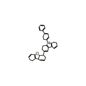 C1=CC2=C(CC1)C1C=CCC(C3=Cc4c5c(n(C6=CC=C(c7ccccc7)CC6)c4CC3)CCC=C5)C1O2